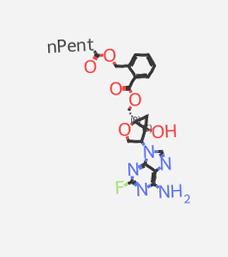 CCCCCC(=O)OCc1ccccc1C(=O)OC[C@]12C[C@]1(O)C(n1cnc3c(N)nc(F)nc31)CO2